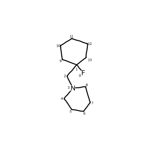 FC1(CN2CCCCC2)CCCCC1